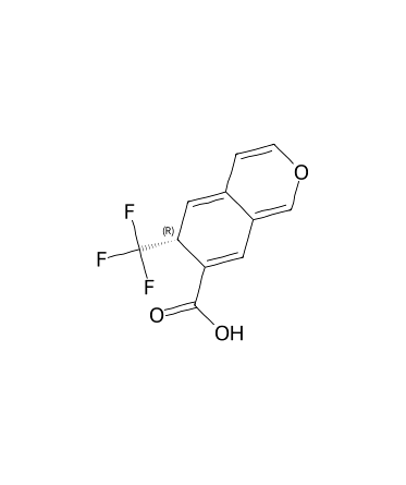 O=C(O)C1=CC2=COC=CC2=C[C@H]1C(F)(F)F